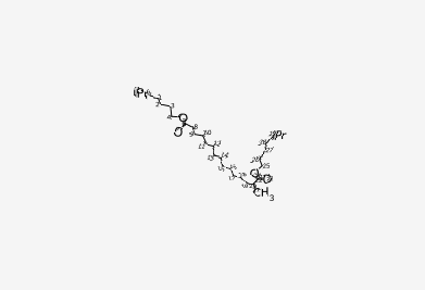 CC(C)CCCCOC(=O)CCCCCCCCCCCCC(C)C(=O)OCCCCC(C)C